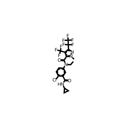 CCN(C(=O)c1c(C(F)(F)F)c(C(F)(F)C(F)(F)F)nn1C)c1ccc(Cl)c(C(=O)NC2CC2)c1